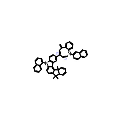 C=C1/C=C(c2ccc3c(c2)c2c4c(ccc2n3-c2cccc3ccccc23)C(C)(C)C2C=CC=CC42C)\C=C/N(c2ccc3ccccc3c2)c2ccccc21